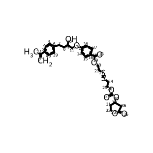 C=C(C)c1ccc(CCC(O)COc2ccc(C(=O)OCCSSCCOC(=O)O[C@@H]3CCOC(=O)C3)cc2)cc1